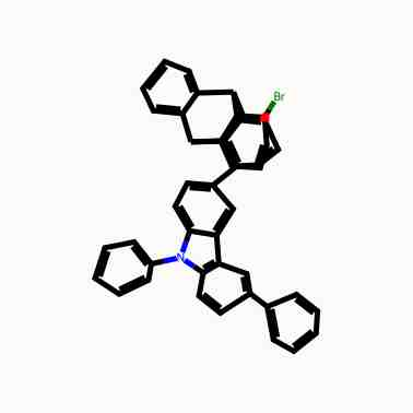 Brc1ccc(-c2ccc3c(c2)c2cc(-c4ccccc4)ccc2n3-c2ccccc2)c2c1C1c3ccccc3C2c2ccccc21